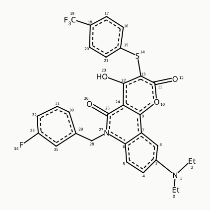 CCN(CC)c1ccc2c(c1)c1oc(=O)c(Sc3ccc(C(F)(F)F)cc3)c(O)c1c(=O)n2Cc1cccc(F)c1